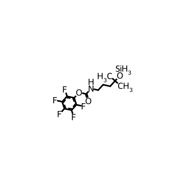 CC(C)(CCCNC(=O)Oc1c(F)c(F)c(F)c(F)c1F)O[SiH3]